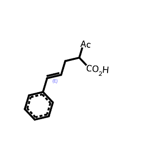 CC(=O)C(C/C=C/c1ccccc1)C(=O)O